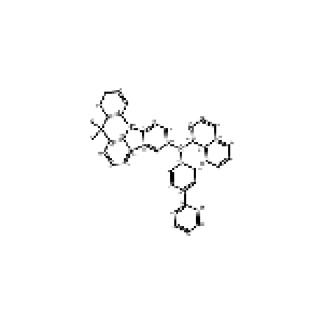 CC1(C)C2=C(C=CCC2)n2c3ccc(N(c4nccc5ccccc45)C4C=CC(c5ccccc5)=CC4)cc3c3cccc1c32